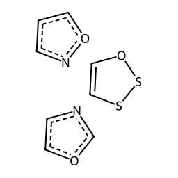 C1=CSSO1.c1cnoc1.c1cocn1